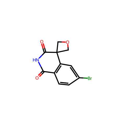 O=C1NC(=O)C2(COC2)c2cc(Br)ccc21